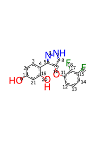 Oc1ccc(-c2n[nH]cc2Oc2cccc(F)c2F)c(O)c1